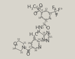 C[C@H](NC(=O)c1cc(C(F)(F)F)cc(S(C)(=O)=O)c1)c1ncnn1-c1ccc(C(=O)N2CCOCC2)cn1